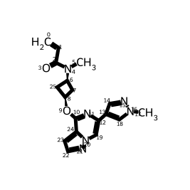 C=CC(=O)N(C)[C@H]1C[C@@H](Oc2nc(-c3cnn(C)c3)cn3nccc23)C1